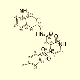 Cc1ccc(S(=O)(=O)N2C=CNC(=O)C2CC(=O)NCC2CCc3c(N)cccc3C2)cc1